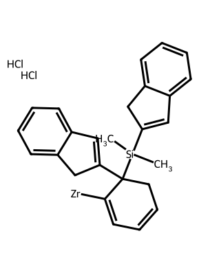 C[Si](C)(C1=Cc2ccccc2C1)C1(C2=Cc3ccccc3C2)CC=CC=[C]1[Zr].Cl.Cl